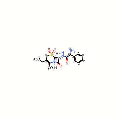 CC(=O)OCC1=C(C(=O)O)N2C(=O)[C@H](NC(=O)C(N)c3ccccc3)[C@@H]2S(=O)(=O)C1